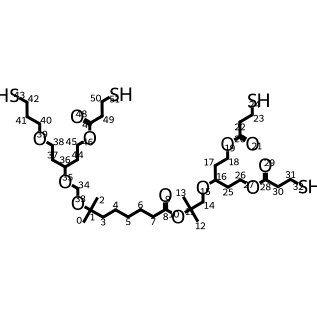 CC(C)(CCCCCC(=O)OC(C)(C)COC(CCOC(=O)CCS)CCOC(=O)CCS)OCOC(CCOCCCS)CCOC(=O)CCS